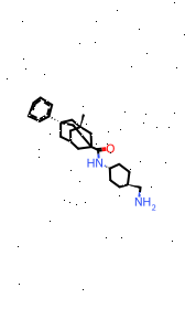 C[C@]12CC3CC(C(=O)N[C@H]4CC[C@H](CN)CC4)(C1)C[C@@](c1ccccc1)(C3)C2